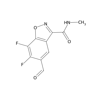 CNC(=O)c1noc2c(F)c(F)c(C=O)cc12